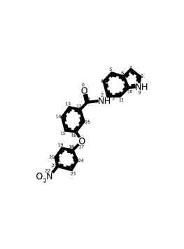 O=C(Nc1ccc2cc[nH]c2c1)c1cccc(Oc2ccc([N+](=O)[O-])cc2)c1